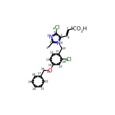 Cc1nc(Cl)c(C=CC(=O)O)n1Cc1ccc(OCc2ccccc2)cc1Cl